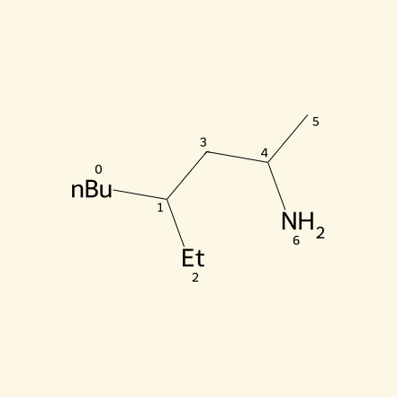 CCCCC(CC)CC(C)N